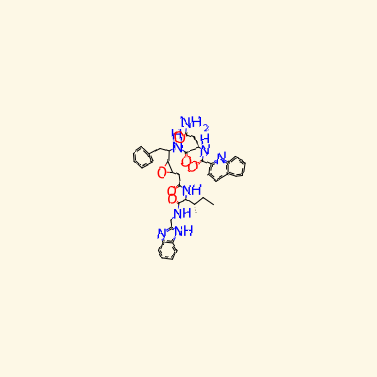 CC[C@H](C)[C@H](NC(=O)CC1OC1C(Cc1ccccc1)NC(=O)[C@@H](CC(N)=O)NC(=O)c1ccc2ccccc2n1)C(=O)NCc1nc2ccccc2[nH]1